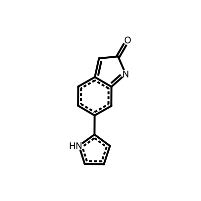 O=C1C=c2ccc(-c3ccc[nH]3)cc2=N1